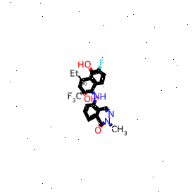 CC[C@@H]1C[C@](O)(C(F)(F)F)C(Nc2cccc3c(=O)n(C)ncc23)c2ccc(F)c(O)c21